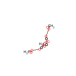 C=CC(=O)OCCCCCCOc1ccc(C(=O)Oc2cccc(OC(=O)c3ccc(OCCCCCCOC(=O)C=C)cc3)c2C)cc1